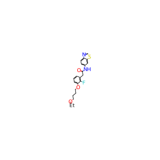 CCOCCCCOc1cccc(CC(=O)Nc2ccc3ncsc3c2)c1F